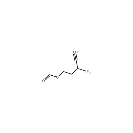 C#CC(C)CCOC=O